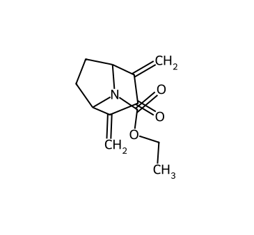 C=C1C(=O)C(=C)C2CCC1N2C(=O)OCC